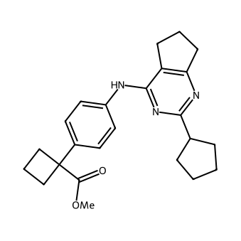 COC(=O)C1(c2ccc(Nc3nc(C4CCCC4)nc4c3CCC4)cc2)CCC1